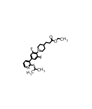 CCOC(=O)CCC1CCN(c2c(F)cc(-c3cccnc3SC(C)C)cc2F)CC1